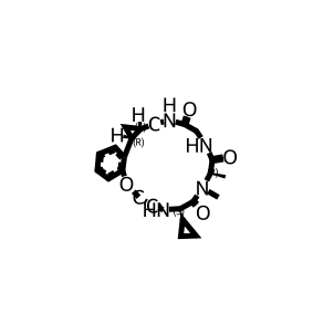 C[C@@H]1C(=O)NCC(=O)NC[C@H]2C[C@H]2c2ccccc2OCCN[C@@H](C2CC2)C(=O)N1C